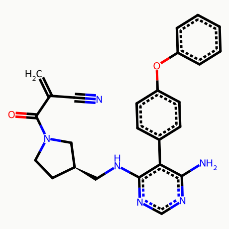 C=C(C#N)C(=O)N1CC[C@H](CNc2ncnc(N)c2-c2ccc(Oc3ccccc3)cc2)C1